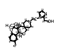 CC1(C)Oc2ccc(F)cc2[C@@H]2OCC3(CCN(CCn4ccnc4CO)CC3)C[C@H]21